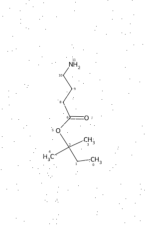 CCC(C)(C)OC(=O)CCCN